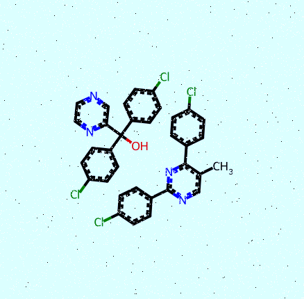 Cc1cnc(-c2ccc(Cl)cc2)nc1-c1ccc(Cl)cc1.OC(c1ccc(Cl)cc1)(c1ccc(Cl)cc1)c1cnccn1